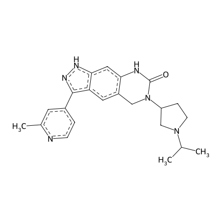 Cc1cc(-c2n[nH]c3cc4c(cc23)CN(C2CCN(C(C)C)C2)C(=O)N4)ccn1